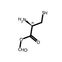 N[C@@H](CS)C(=O)O[C]=O